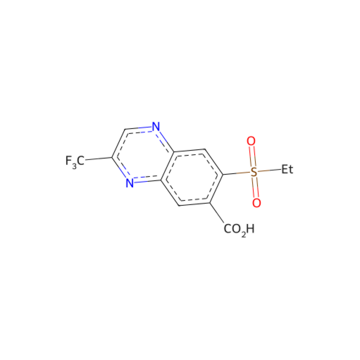 CCS(=O)(=O)c1cc2ncc(C(F)(F)F)nc2cc1C(=O)O